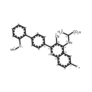 CCCOc1ccccc1-c1ccc(-c2nc3ccc(F)cc3c(NC(C)C(=O)O)c2C#N)cc1